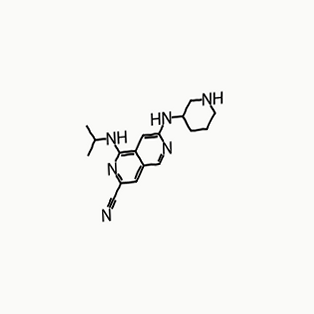 CC(C)Nc1nc(C#N)cc2cnc(NC3CCCNC3)cc12